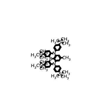 Cc1cc2c3c(c1)N(c1ccc([Si](C)(C)C)cc1)c1ccc([Si](C)(C)C)cc1B3c1cc([Si](C)(C)C)ccc1N2c1ccc([Si](C)(C)C)cc1